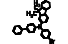 CC1(C)C2=C(CCC=C2)c2ccc(N(c3ccc(Br)cc3)c3ccc(-c4ccccc4)cc3)cc21